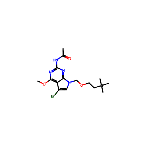 COc1nc(NC(C)=O)nc2c1c(Br)cn2COCC[Si](C)(C)C